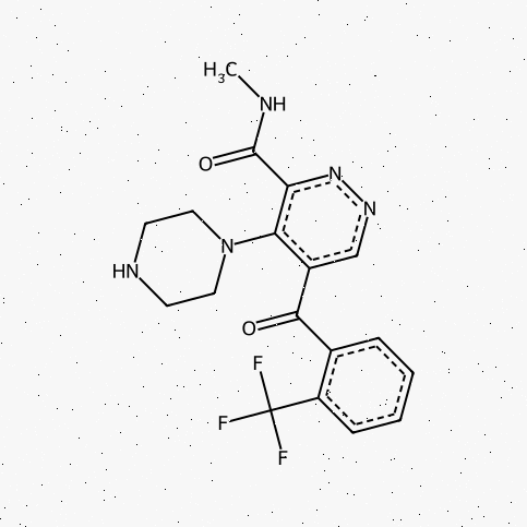 CNC(=O)c1nncc(C(=O)c2ccccc2C(F)(F)F)c1N1CCNCC1